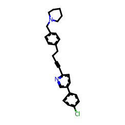 Clc1ccc(-c2ccc(C#CCCc3ccc(CN4CCCCC4)cc3)nc2)cc1